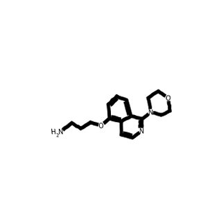 NCCCOc1cccc2c(N3CCOCC3)nccc12